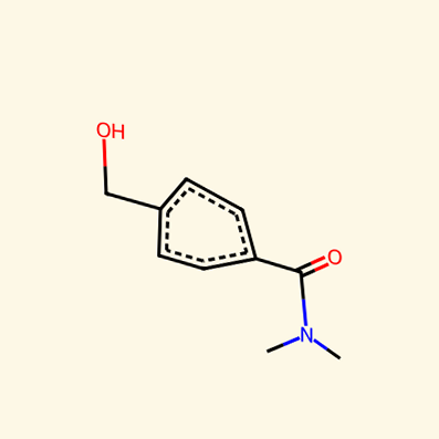 CN(C)C(=O)c1ccc(CO)cc1